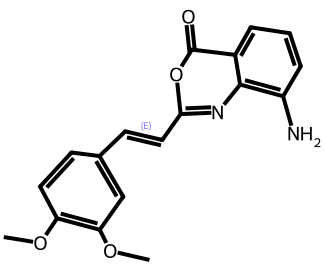 COc1ccc(/C=C/c2nc3c(N)cccc3c(=O)o2)cc1OC